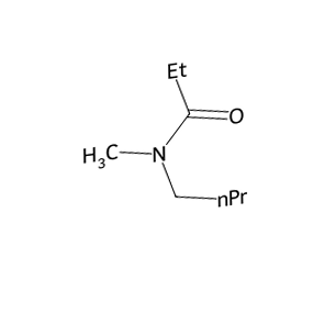 CCCCN(C)C(=O)CC